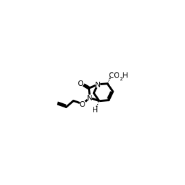 C=CCON1C(=O)N2C[C@H]1C=C[C@H]2C(=O)O